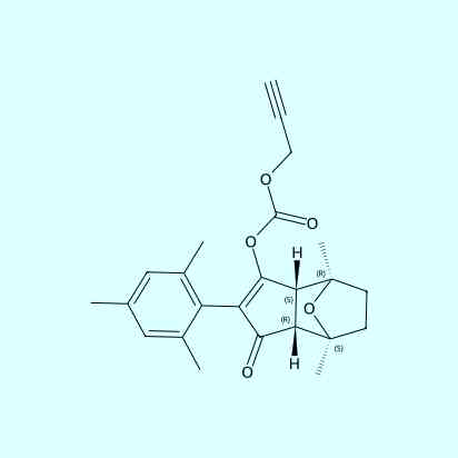 C#CCOC(=O)OC1=C(c2c(C)cc(C)cc2C)C(=O)[C@@H]2[C@H]1[C@@]1(C)CC[C@]2(C)O1